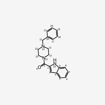 O=C(c1cc2ccccc2[nH]1)N1CCN(Cc2ccccc2)CC1